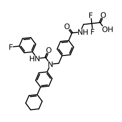 O=C(NCC(F)(F)C(=O)O)c1ccc(CN(C(=O)Nc2cccc(F)c2)c2ccc(C3=CCCCC3)cc2)cc1